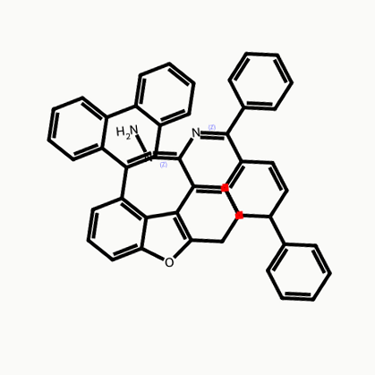 N/N=C(\N=C(/C1=CCC(c2ccccc2)C=C1)c1ccccc1)C1=CCCc2oc3cccc(-c4cc5ccccc5c5ccccc45)c3c21